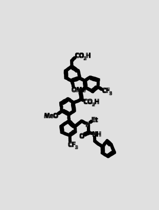 CCN(Cc1cc(C(F)(F)F)ccc1-c1cc(C(=Cc2cc(C(F)(F)F)ccc2-c2cc(CC(=O)O)ccc2OC)C(=O)O)ccc1OC)C(=O)NCc1ccccc1